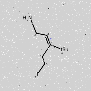 CC(C)(C)/C(=C/CN)CCI